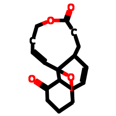 O=C1CCC2C=CC3C4CCC(=O)C3C2(/C=C\CCO1)O4